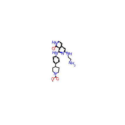 COC(=O)N1CCC(c2ccc(Nc3nc(NCCN)cc4cc[nH]c(=O)c34)cc2)CC1